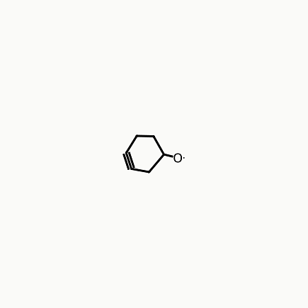 [O]C1CC#CCC1